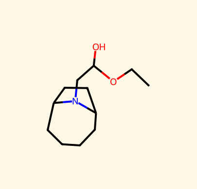 CCOC(O)CN1C2CCCCC1CC2